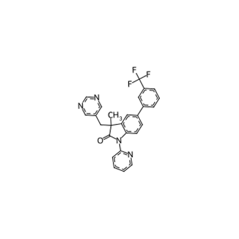 CC1(Cc2cncnc2)C(=O)N(c2ccccn2)c2ccc(-c3cccc(C(F)(F)F)c3)cc21